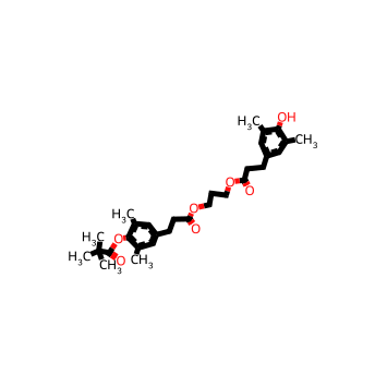 Cc1cc(CCC(=O)OCCCOC(=O)CCc2cc(C)c(OC(=O)C(C)(C)C)c(C)c2)cc(C)c1O